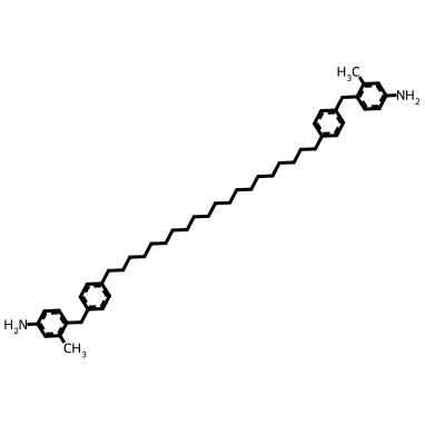 Cc1cc(N)ccc1Cc1ccc(CCCCCCCCCCCCCCCCCCCCc2ccc(Cc3ccc(N)cc3C)cc2)cc1